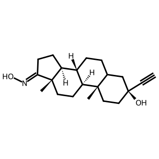 C#C[C@]1(O)CC[C@@]2(C)C(CC[C@@H]3[C@@H]2CC[C@]2(C)/C(=N/O)CC[C@@H]32)C1